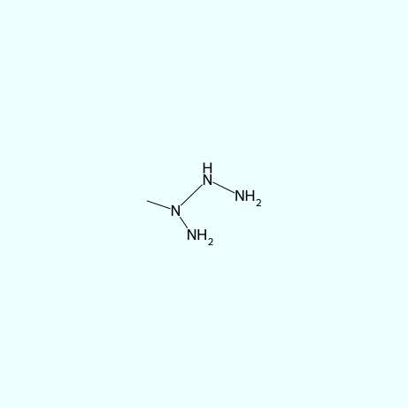 CN(N)NN